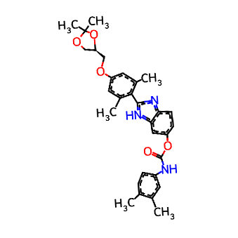 Cc1ccc(NC(=O)Oc2ccc3nc(-c4c(C)cc(OC[C@H]5COC(C)(C)O5)cc4C)[nH]c3c2)cc1C